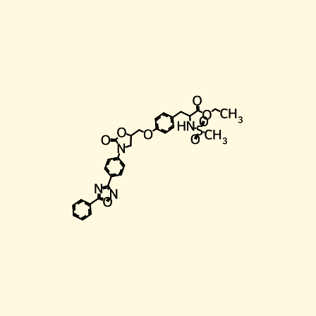 CCOC(=O)C(Cc1ccc(OCC2CN(c3ccc(-c4noc(-c5ccccc5)n4)cc3)C(=O)O2)cc1)NS(C)(=O)=O